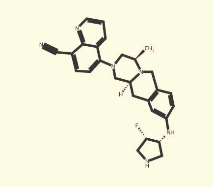 C[C@@H]1CN(c2ccc(C#N)c3ncccc23)C[C@@H]2Cc3cc(N[C@@H]4CNC[C@@H]4F)ccc3CN21